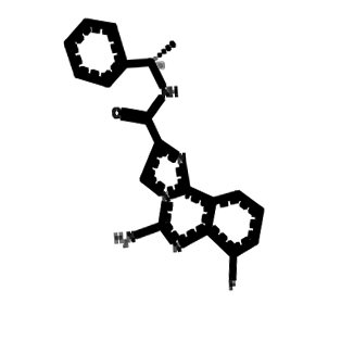 C[C@H](NC(=O)c1cn2c(N)nc3c(F)cccc3c2n1)c1ccccc1